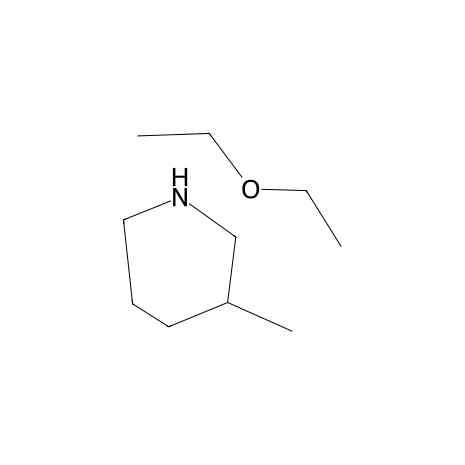 CC1CCCNC1.CCOCC